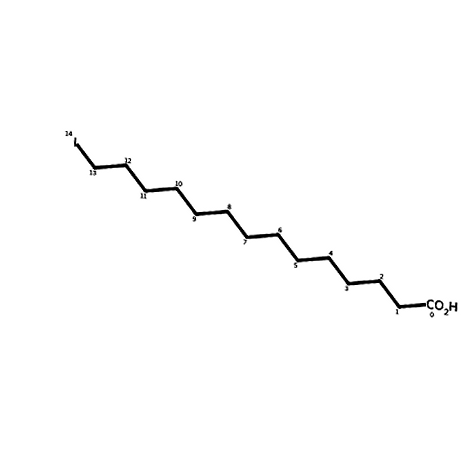 O=C(O)CCCCCCCCCCCCCI